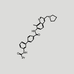 Cc1c(NC(=O)c2ccc(-c3cccc(NC(=O)C(C)C)c3)cc2)ccc2cc(CN3CCCC3)cnc12